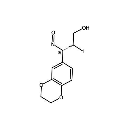 O=N[C@@H](c1ccc2c(c1)OCCO2)C(I)CO